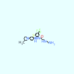 CC1CCCN(c2ccc3c(c2)Sc2cc(C(F)(F)F)cc(NC(=O)CCNCCN)c2N3)C1